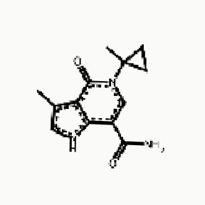 Cc1c[nH]c2c(C(N)=O)cn(C3(C)CC3)c(=O)c12